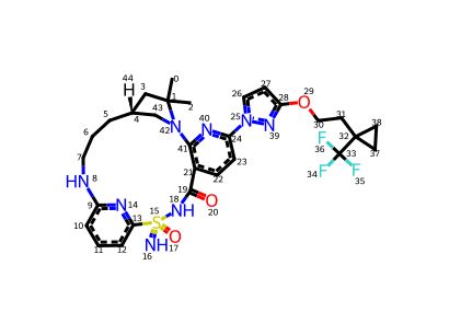 CC1(C)C[C@H]2CCCNc3cccc(n3)S(=N)(=O)NC(=O)c3ccc(-n4ccc(OCCC5(C(F)(F)F)CC5)n4)nc3N1C2